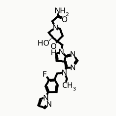 CCN(Cc1ccc(-n2cccn2)cc1F)c1ncnc2c1ccn2C[C@]1(O)CCN(CC(N)=O)C[C@H]1O